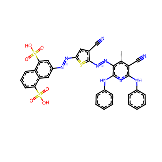 Cc1c(C#N)c(Nc2ccccc2)nc(Nc2ccccc2)c1/N=N/c1sc(/N=N/c2cc(S(=O)(=O)O)c3cccc(S(=O)(=O)O)c3c2)cc1C#N